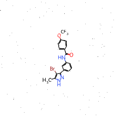 Cc1[nH]nc(-c2cccc(NC(=O)c3ccc(OC(F)(F)F)cc3)c2)c1Br